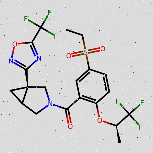 CCS(=O)(=O)c1ccc(O[C@H](C)C(F)(F)F)c(C(=O)N2CC3C[C@]3(c3noc(C(F)(F)F)n3)C2)c1